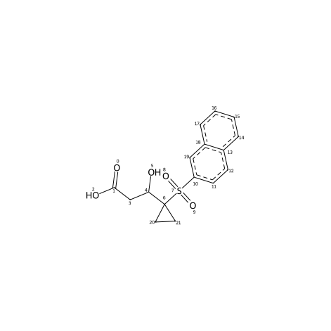 O=C(O)CC(O)C1(S(=O)(=O)c2ccc3ccccc3c2)CC1